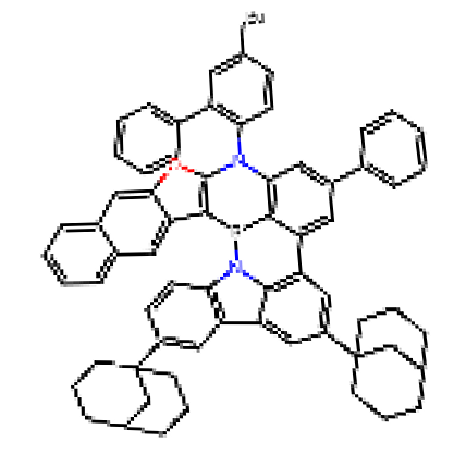 CC(C)(C)c1ccc(N2c3cc(-c4ccccc4)cc4c3B(c3c2oc2cc5ccccc5cc32)n2c3ccc(C56CCCC(CCC5)C6)cc3c3cc(C56CCCC(CCC5)C6)cc-4c32)c(-c2ccccc2)c1